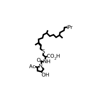 CC(=O)C1CC(O)CN1C(=O)NC(CSC/C=C(\C)CCCC(C)CCCC(C)CCCC(C)C)C(=O)O